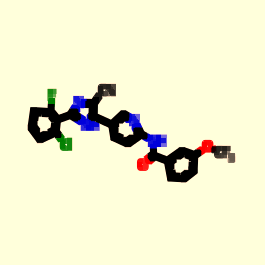 N#Cc1nc(-c2c(F)cccc2Cl)[nH]c1-c1ccc(NC(=O)c2cccc(OC(F)(F)F)c2)nc1